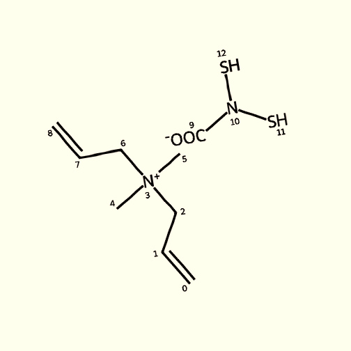 C=CC[N+](C)(C)CC=C.O=C([O-])N(S)S